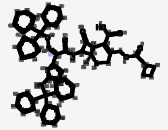 O=C(O)C1=C(COC(=O)N2CCC2)CS[C@H]2C(NC(=O)/C(=N\OC(c3ccccc3)(c3ccccc3)c3ccccc3)c3csc(NC(c4ccccc4)(c4ccccc4)c4ccccc4)n3)C(=O)N12